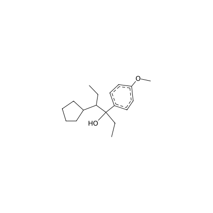 CCC(C1CCCC1)C(O)(CC)c1ccc(OC)cc1